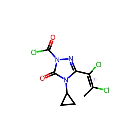 C/C(Cl)=C(/Cl)c1nn(C(=O)Cl)c(=O)n1C1CC1